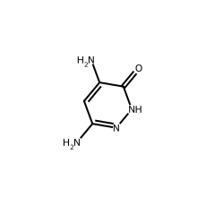 Nc1cc(N)c(=O)[nH]n1